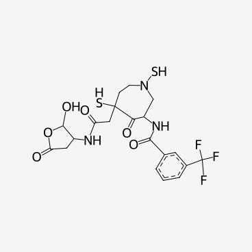 O=C(CC1(S)CCN(S)CC(NC(=O)c2cccc(C(F)(F)F)c2)C1=O)NC1CC(=O)OC1O